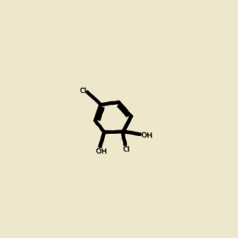 OC1C=C(Cl)C=CC1(O)Cl